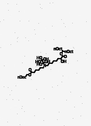 CCCCCCCCCCCOC(=O)CCCCCN(CCCCCCC(O)C(=O)OC(CCCCCCCC)CCCCCCCC)C(O)(O)C(O)(O)O